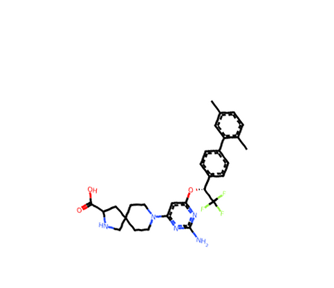 Cc1ccc(C)c(-c2ccc([C@@H](Oc3cc(N4CCC5(CC4)CNC(C(=O)O)C5)nc(N)n3)C(F)(F)F)cc2)c1